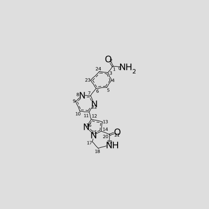 NC(=O)c1ccc(-c2nccc(-c3cc4n(n3)CCNC4=O)n2)cc1